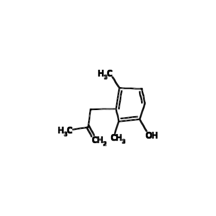 C=C(C)Cc1c(C)ccc(O)c1C